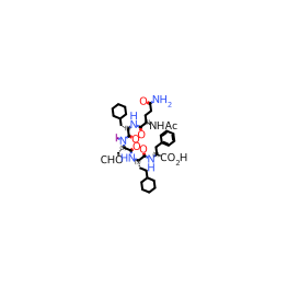 CC(=O)N[C@@H](CCC(N)=O)C(=O)N[C@@H](CC1CCCCC1)C(=O)N(I)[C@@H](CC=O)C(=O)N[C@@H](CCC1CCCCC1)C(=O)N[C@@H](Cc1ccccc1)C(=O)O